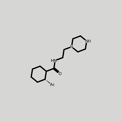 CC(=O)[C@@H]1CCCCC1C(=O)NCCN1CCNCC1